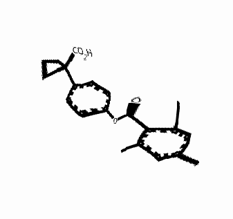 Cc1cc(C)c(C(=O)Oc2ccc(C3(C(=O)O)CC3)cc2)c(C)c1